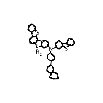 C1=C(c2ccc3ccccc3c2)CCC(N(c2ccc3c(c2)[SiH2]c2ccc4c(sc5ccccc54)c2-3)c2ccc3c(c2)sc2ccccc23)=C1